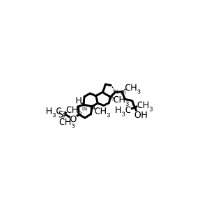 C[C@H](CCC(C)(C)O)[C@H]1CCC2C3CC[C@H]4CC(O[Si](C)(C)C)CC[C@]4(C)C3CC[C@@]21C